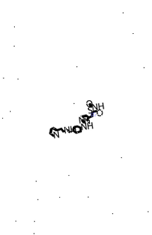 O=C1NC(=O)/C(=C/c2ccnc(N[C@H]3CC[C@H](CNCCc4ccccn4)CC3)n2)S1